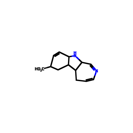 O=C(O)C1C=CC2NC3C=NC=CCC3C2C1